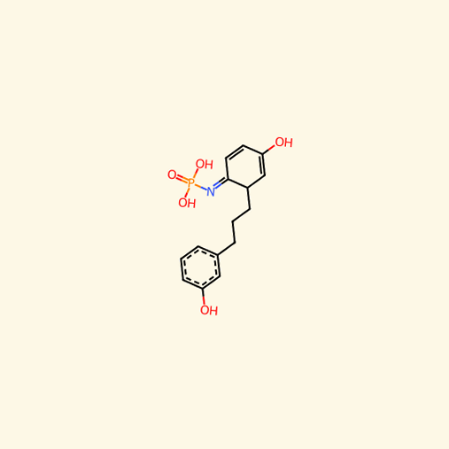 O=P(O)(O)N=C1C=CC(O)=CC1CCCc1cccc(O)c1